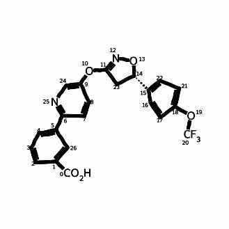 O=C(O)c1cccc(-c2ccc(OC3=NO[C@H](c4ccc(OC(F)(F)F)cc4)C3)cn2)c1